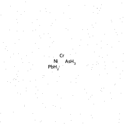 [AsH3].[Cr].[Ni].[PbH2]